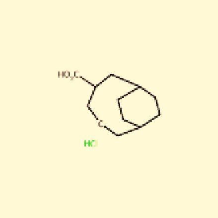 Cl.O=C(O)C1CCCC2CCC(CC2)C1